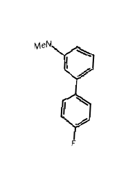 CNc1cccc(-c2ccc(F)cc2)c1